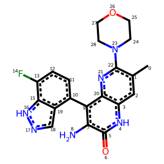 Cc1cc2[nH]c(=O)c(N)c(-c3ccc(F)c4[nH]ncc34)c2nc1N1CCOCC1